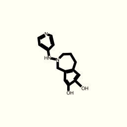 Oc1cc2c(cc1O)CN(Nc1ccncc1)CCC2